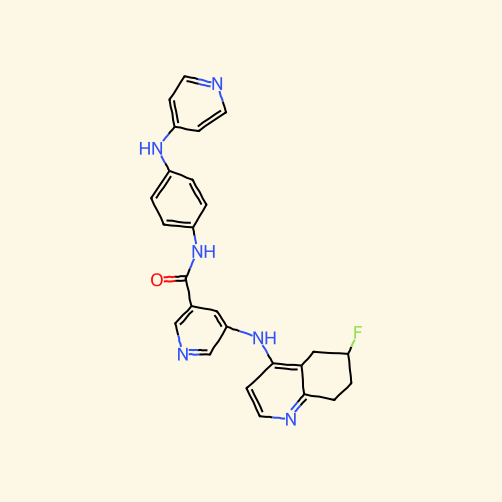 O=C(Nc1ccc(Nc2ccncc2)cc1)c1cncc(Nc2ccnc3c2CC(F)CC3)c1